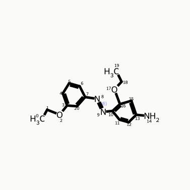 CCOc1cccc(/N=N/c2ccc(N)cc2OCC)c1